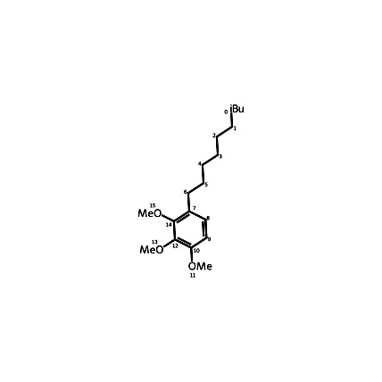 CCC(C)CCCCCCc1ccc(OC)c(OC)c1OC